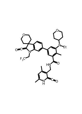 CCN(c1cc(-c2ccc3c(c2)N(CC(F)(F)F)C(=C=O)C32CCOCC2)cc(C(=O)NCC2=C(C)C=C(C)NC2=C=O)c1C)C1CCOCC1